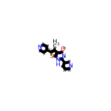 Cc1c(-c2ccncc2)sc2[nH]c(-c3cccnc3)nc(=O)c12